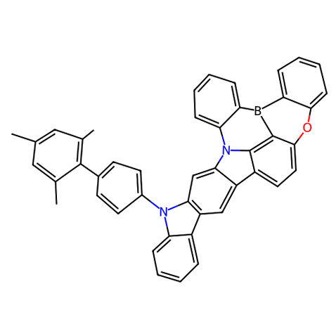 Cc1cc(C)c(-c2ccc(-n3c4ccccc4c4cc5c6ccc7c8c6n(c5cc43)-c3ccccc3B8c3ccccc3O7)cc2)c(C)c1